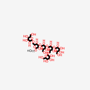 CCCCCCCCOC1OC(COC2OC(CO)C(O)C(O)C2O)C(O)C(OC2OC(CO)C(O)C(OC3OC(COC4OC(CO)C(O)C(O)C4O)[C@@H](O)C(OC4OC(CO)C(O)C(O)C4O)C3O)C2O)C1O